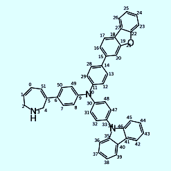 C1=CCNCC(c2ccc(N(c3ccc(-c4ccc5c(c4)oc4ccccc45)cc3)c3ccc(-n4c5ccccc5c5ccccc54)cc3)cc2)=C1